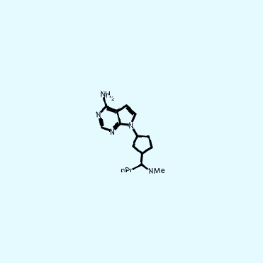 CCCC(NC)C1CCC(n2ccc3c(N)ncnc32)C1